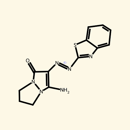 Nc1c(/N=N/c2nc3ccccc3s2)c(=O)n2n1CCC2